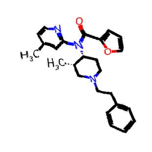 Cc1ccnc(N(C(=O)c2ccco2)[C@@H]2CCN(CCc3ccccc3)C[C@@H]2C)c1